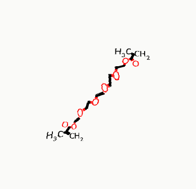 C=C(C)C(=O)OCCOCCOCCOCCOCCOC(=O)C(=C)C